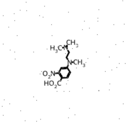 CN(C)CCN(C)c1ccc(C(=O)O)c([N+](=O)[O-])c1